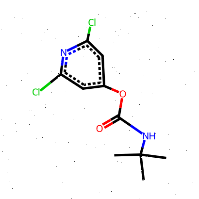 CC(C)(C)NC(=O)Oc1cc(Cl)nc(Cl)c1